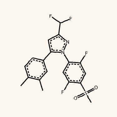 Cc1ccc(-c2cc(C(F)F)nn2-c2cc(F)c(S(C)(=O)=O)cc2F)cc1C